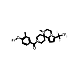 Cc1cc(C(=O)N2CCC3(CC2)c2ccc(C(F)(F)C(F)(F)F)n2CCN3C)ccc1OC(C)C